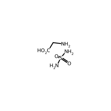 NCC(=O)O.NS(N)(=O)=O